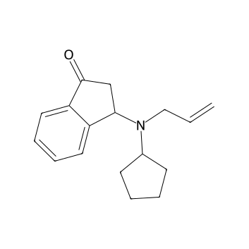 C=CCN(C1CCCC1)C1CC(=O)c2ccccc21